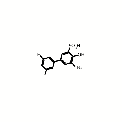 CC(C)(C)c1cc(-c2cc(F)cc(F)c2)cc(S(=O)(=O)O)c1O